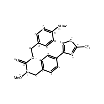 CON(Cc1ccc(-c2noc(C(F)(F)F)n2)cc1)C(=O)OCc1ccc(NC(C)=O)nc1